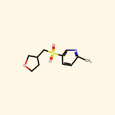 Cc1ccc(S(=O)(=O)CC2CCOC2)cn1